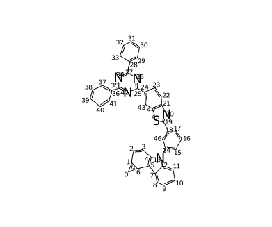 C1=c2ccc3c(c2=1)c1ccccc1n3-c1cccc(-c2nc3ccc(-c4nc(-c5ccccc5)nc(-c5ccccc5)n4)cc3s2)c1